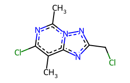 Cc1c(Cl)nc(C)n2nc(CCl)nc12